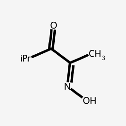 CC(=NO)C(=O)C(C)C